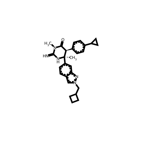 CN1C(=N)N[C@](C)(c2ccc3cn(CC4CCC4)nc3c2)[C@H](c2ccc(C3CC3)cc2)C1=O